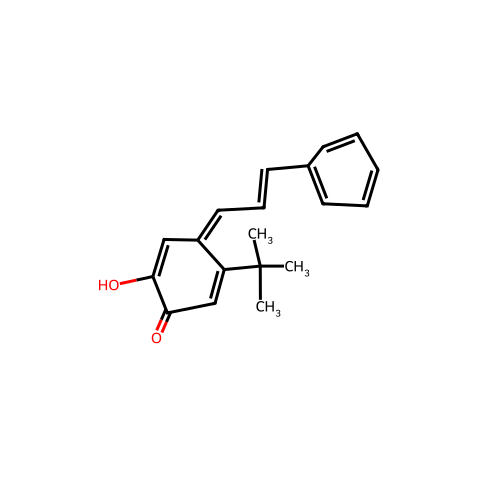 CC(C)(C)C1=CC(=O)C(O)=CC1=CC=Cc1ccccc1